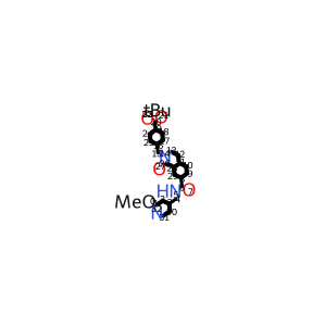 COc1cc(CNC(=O)c2ccc3ccn(Cc4ccc(C(=O)OC(C)(C)C)cc4)c(=O)c3c2)ccn1